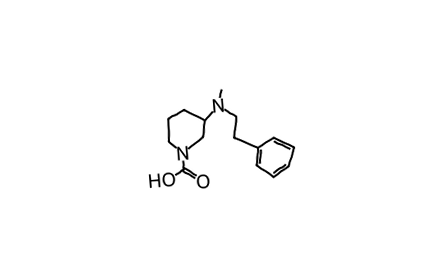 CN(CCc1ccccc1)C1CCCN(C(=O)O)C1